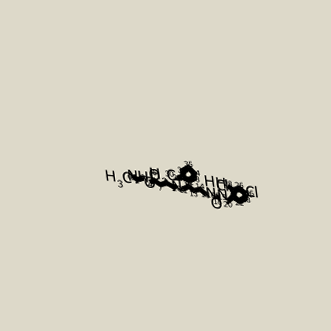 CNCCOC(=O)CCCN(CCCCCNC(=O)NCc1ccc(Cl)cc1Cl)C(C)c1ccccc1